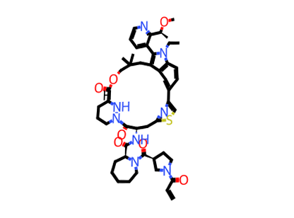 C=CC(=O)N1CC[C@H](C(=O)N2CCCCC[C@H]2C(=O)N[C@H]2Cc3nc(cs3)-c3ccc4c(c3)c(c(-c3cccnc3[C@H](C)OC)n4CC)CC(C)(C)COC(=O)[C@@H]3CCCN(N3)C2=O)C1